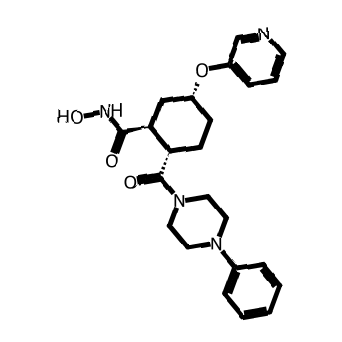 O=C(NO)[C@H]1C[C@H](Oc2cccnc2)CC[C@@H]1C(=O)N1CCN(c2ccccc2)CC1